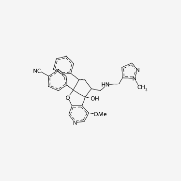 COc1cncc2c1C1(O)C(CNCc3ccnn3C)CC(c3ccccc3)C1(c1ccc(C#N)cc1)O2